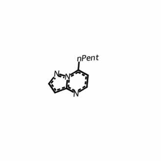 CCCCCc1ccnc2ccnn12